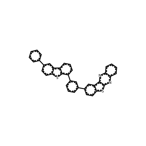 c1ccc(-c2ccc3sc4c(-c5cccc(-c6ccc7sc8nc9ccccc9nc8c7c6)c5)cccc4c3c2)cc1